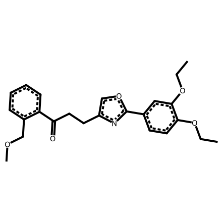 CCOc1ccc(-c2nc(CCC(=O)c3ccccc3COC)co2)cc1OCC